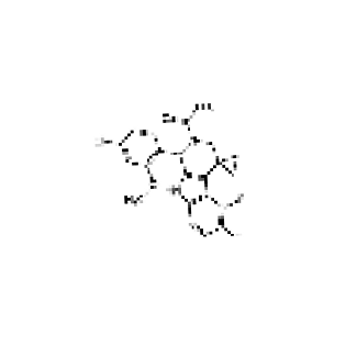 COc1cc(Cl)ccc1C1c2[nH]c3ccc(F)c(F)c3c2C2(CC2)CN1C(C)=O